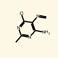 C=Nc1c(N)nc(C)nc1Cl